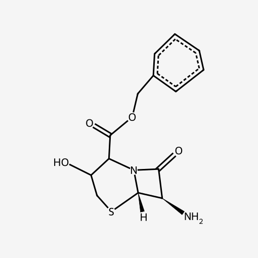 N[C@@H]1C(=O)N2C(C(=O)OCc3ccccc3)C(O)CS[C@@H]12